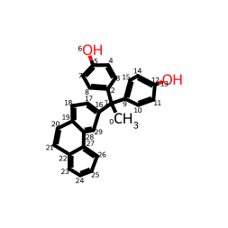 CC(c1ccc(O)cc1)(c1ccc(O)cc1)c1ccc2ccc3ccccc3c2c1